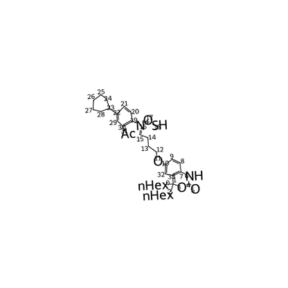 CCCCCCC1(CCCCCC)OC(=O)Nc2ccc(OCCCC=[N+](OS)c3ccc(C4CCCCC4)cc3C(C)=O)cc21